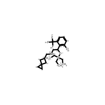 CC[Si](CC)(CC)OC(CNCC1CC2(CC2)C1)c1c(Cl)cccc1C(F)(F)F